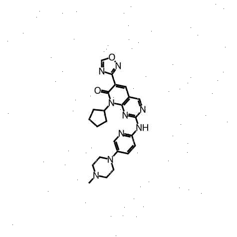 CN1CCN(c2ccc(Nc3ncc4cc(-c5ncon5)c(=O)n(C5CCCC5)c4n3)nc2)CC1